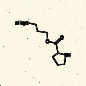 CCCCCCCCCCOC(=O)C1CCCN1